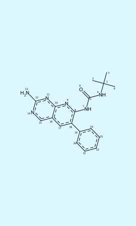 CC(C)(C)NC(=O)Nc1nc2nc(N)ncc2cc1-c1ccccc1